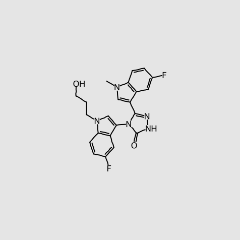 Cn1cc(-c2n[nH]c(=O)n2-c2cn(CCCO)c3ccc(F)cc23)c2cc(F)ccc21